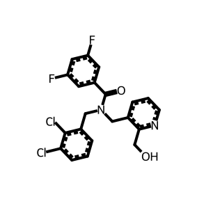 O=C(c1cc(F)cc(F)c1)N(Cc1cccnc1CO)Cc1cccc(Cl)c1Cl